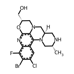 C[C@@H]1CN2c3c4c(nc5c(F)c(Br)c(Cl)cc35)O[C@H](CO)CN4C[C@H]2CN1